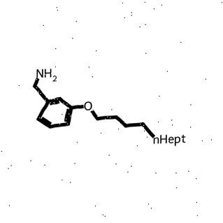 CCCCCCCCCCCOc1cccc(CN)c1